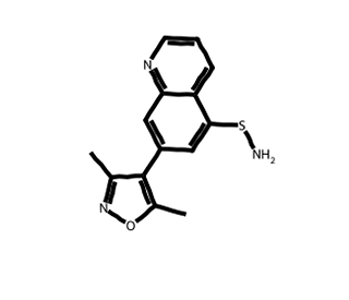 Cc1noc(C)c1-c1cc(SN)c2cccnc2c1